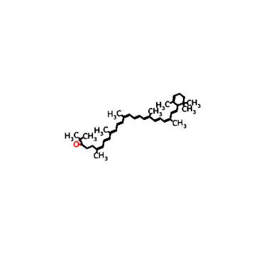 CC1=CCCC(C)(C)C1/C=C/C(C)=C\C=C\C(C)=C\C=C\C=C(C)/C=C/C=C(C)/C=C/C=C(/C)CCC1OC1(C)C